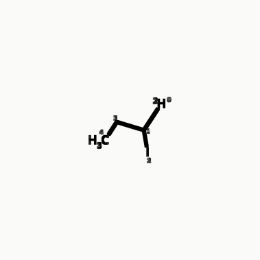 [2H]C(I)CC